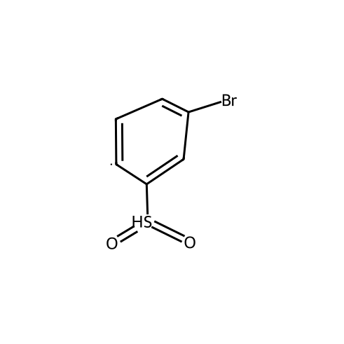 O=[SH](=O)c1[c]ccc(Br)c1